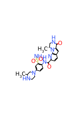 CC1CN(c2ccc(NC(=O)c3ccc4cc5n(c4n3)[C@H](C)CNC5=O)c(S(N)(=O)=O)c2)CCN1